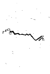 C[Si](C)(Cl)CCCCCCCCCCCCCC(=O)O